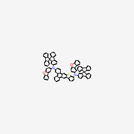 c1ccc2c(c1)-c1ccccc1C21c2ccccc2-c2ccc(N(c3ccc4oc5ccccc5c4c3)c3ccc4c(c3)c3ccccc3c3cc5c(cc43)sc3c(N(c4ccc6c(c4)C4(c7ccccc7-c7ccccc74)c4ccccc4-6)c4ccc6oc7ccccc7c6c4)cccc35)cc21